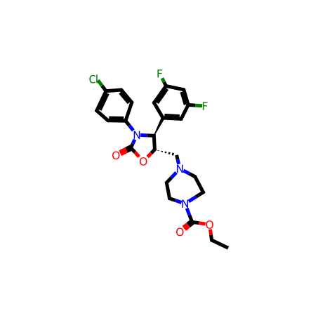 CCOC(=O)N1CCN(C[C@@H]2OC(=O)N(c3ccc(Cl)cc3)[C@H]2c2cc(F)cc(F)c2)CC1